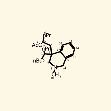 CCCCC(CCC)C1(CC(CCC)OC(C)=O)CN(C)Cc2ccccc21